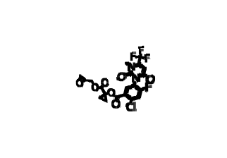 Cn1c(C(F)(F)F)cc(=O)n(-c2cc(C(=O)OC3(C(=O)OCC4CO4)CC3)c(Cl)cc2F)c1=O